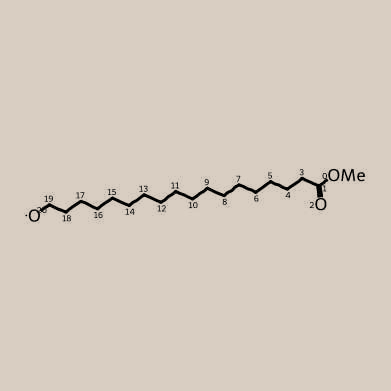 COC(=O)CCCCCCCCCCCCCCCCC[O]